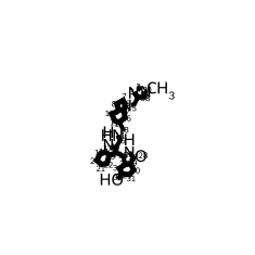 Cn1cnc(Cn2ccc3ccc(CNCc4[nH]c5ccccc5c4C4NC(=O)c5ccc(O)cc54)cc32)c1